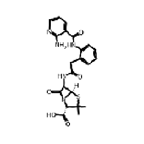 CC1(C)S[C@@H]2C(NC(=O)Cc3ccccc3NC(=O)c3cccnc3N)C(=O)N2[C@H]1C(=O)O